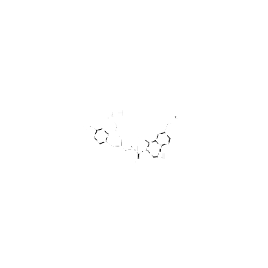 COCCOC(CNC(=O)c1c[nH]c2ccc(CSC)cc2c1=O)Cc1ccc(Cl)cc1